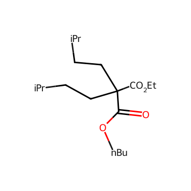 CCCCOC(=O)C(CCC(C)C)(CCC(C)C)C(=O)OCC